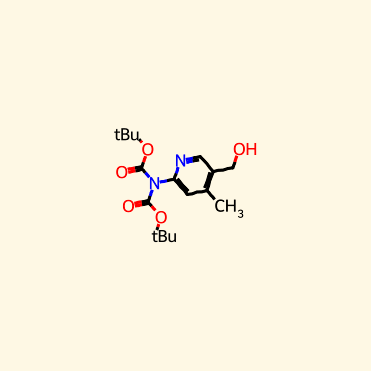 Cc1cc(N(C(=O)OC(C)(C)C)C(=O)OC(C)(C)C)ncc1CO